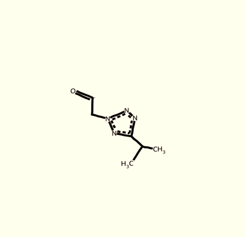 CC(C)c1nnn(C[C]=O)n1